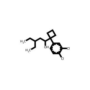 CCC(CC)CC(O)C1(c2ccc(Cl)c(Cl)c2)CCC1